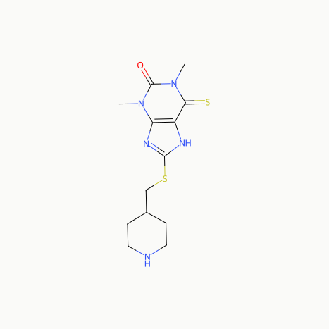 Cn1c(=S)c2[nH]c(SCC3CCNCC3)nc2n(C)c1=O